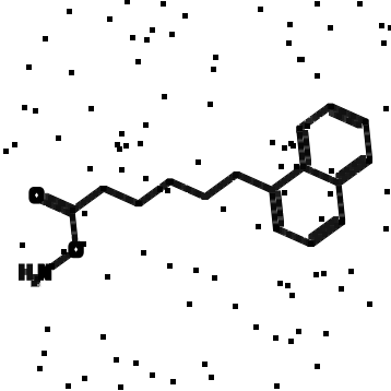 NOC(=O)CCCCCc1cccc2ccccc12